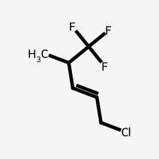 CC(C=CCCl)C(F)(F)F